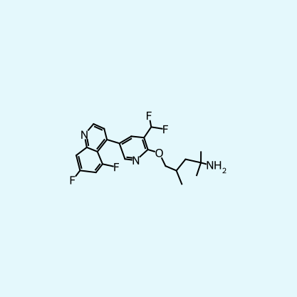 CC(COc1ncc(-c2ccnc3cc(F)cc(F)c23)cc1C(F)F)CC(C)(C)N